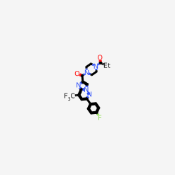 CCC(=O)N1CCN(C(=O)c2cn3nc(-c4ccc(F)cc4)cc(C(F)(F)F)c3n2)CC1